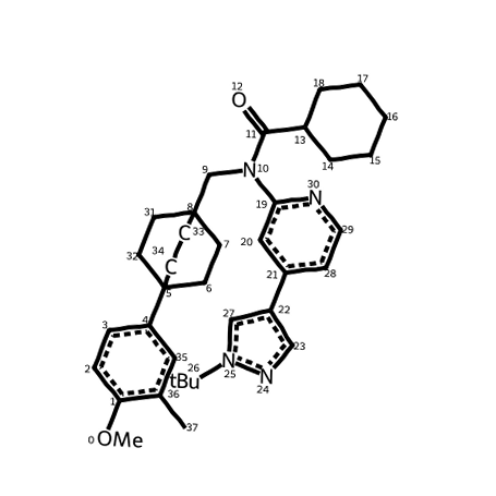 COc1ccc(C23CCC(CN(C(=O)C4CCCCC4)c4cc(-c5cnn(C(C)(C)C)c5)ccn4)(CC2)CC3)cc1C